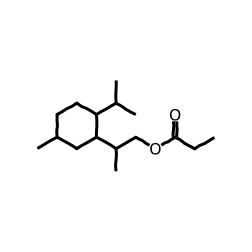 CCC(=O)OCC(C)C1CC(C)CCC1C(C)C